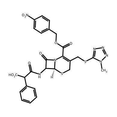 Cn1nnnc1SCC1=C(C(=O)OCc2ccc([N+](=O)[O-])cc2)N2C(=O)C(NC(=O)C(C(=O)O)c3ccccc3)[C@@H]2SC1